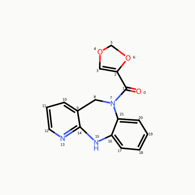 O=C(C1=COCO1)N1Cc2cccnc2Nc2ccccc21